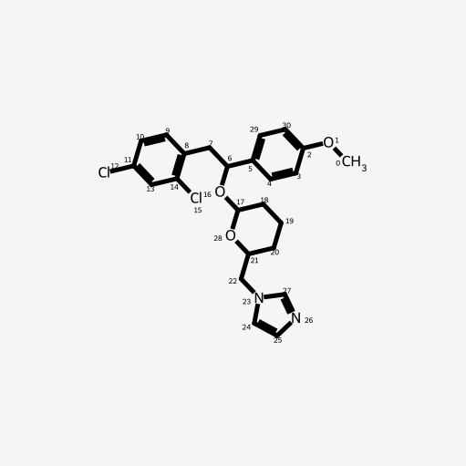 COc1ccc(C(Cc2ccc(Cl)cc2Cl)OC2CCCC(Cn3ccnc3)O2)cc1